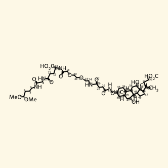 COC(CCCNC(=O)CNC(=O)CC[C@H](NC(=O)COCCOCCNC(=O)CCC(=O)NO[C@H]1CC[C@@]2(C)[C@@H](C1)C[C@@H](O)[C@H]1C3CC[C@H]([C@H](C)CCC(=O)O)[C@@]3(C)[C@@H](O)C[C@@H]12)C(=O)O)OC